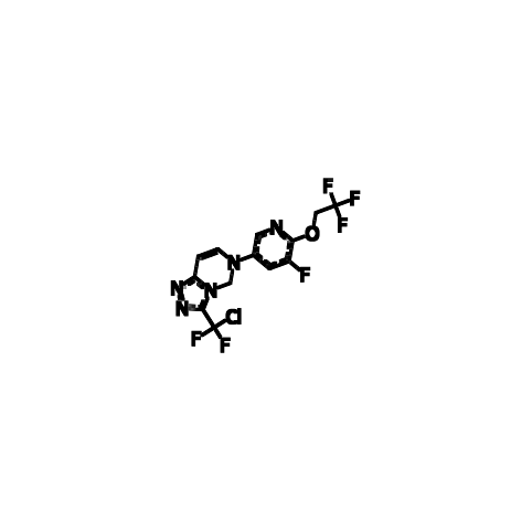 Fc1cc(N2C=Cc3nnc(C(F)(F)Cl)n3C2)cnc1OCC(F)(F)F